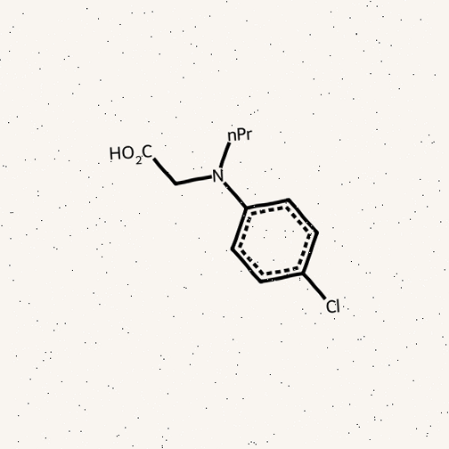 CCCN(CC(=O)O)c1ccc(Cl)cc1